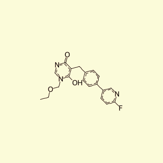 CCOCn1cnc(=O)c(Cc2ccc(-c3ccc(F)nc3)cc2)c1O